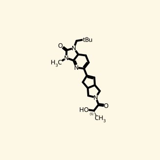 C[C@H](O)C(=O)N1CC2C=C(C3=CCC4C(=N3)N(C)C(=O)N4CC(C)(C)C)CC2C1